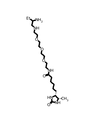 CCC(N)CNCCOCCOCCOCCNC(=O)CCCCC[C@H]1NC(=O)N[C@H]1C